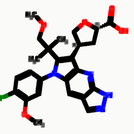 COCC(C)(C)c1c([C@H]2CO[C@H](C(=O)O)C2)c2nc3[nH]ncc3cc2n1-c1ccc(F)c(OC)c1